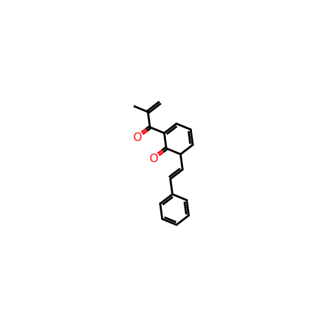 C=C(C)C(=O)C1=CC=CC(C=Cc2ccccc2)C1=O